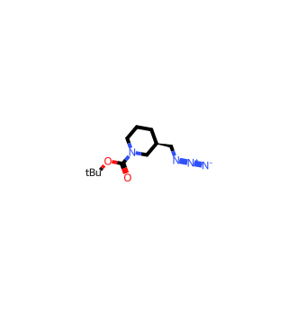 CC(C)(C)OC(=O)N1CCC[C@@H](CN=[N+]=[N-])C1